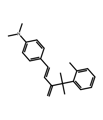 C=C(C=Cc1ccc(N(C)C)cc1)C(C)(C)c1ccccc1C